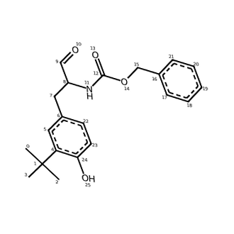 CC(C)(C)c1cc(CC([C]=O)NC(=O)OCc2ccccc2)ccc1O